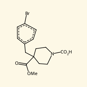 COC(=O)C1(Cc2ccc(Br)cc2)CCN(C(=O)O)CC1